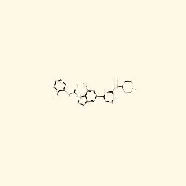 N#Cc1cc(-c2ccnc(NC3CCOCC3)n2)cc2ccn(C(=O)Cc3ccccc3Cl)c12